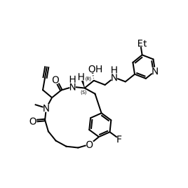 C#CCC1C(=O)N[C@H]([C@H](O)CNCc2cncc(CC)c2)Cc2ccc(c(F)c2)OCCCCC(=O)N1C